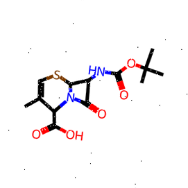 CC1=CSC2C(NC(=O)OC(C)(C)C)C(=O)N2C1C(=O)O